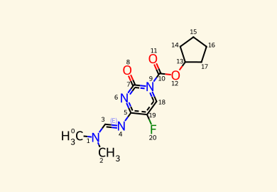 CN(C)/C=N/c1nc(=O)n(C(=O)OC2CCCC2)cc1F